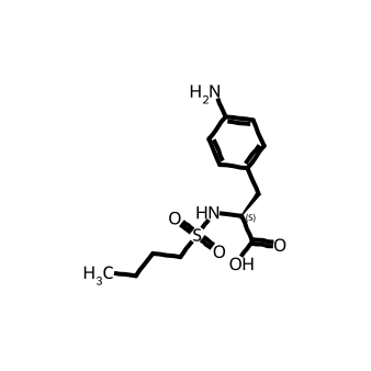 CCCCS(=O)(=O)N[C@@H](Cc1ccc(N)cc1)C(=O)O